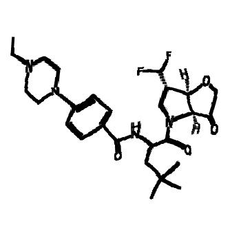 CCN1CCN(c2ccc(C(=O)NC(CC(C)(C)C)C(=O)N3C[C@H](C(F)F)[C@H]4OCC(=O)[C@H]43)cc2)CC1